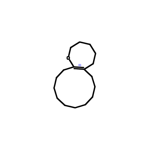 C1CCCCC/C2=C(\CCCC1)CCCCCO2